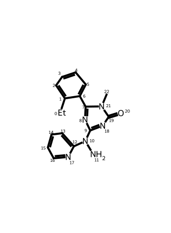 CCc1ccccc1-c1nc(N(N)c2ccccn2)nc(=O)n1C